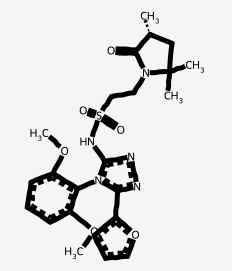 COc1cccc(OC)c1-n1c(NS(=O)(=O)CCN2C(=O)[C@H](C)CC2(C)C)nnc1-c1ccco1